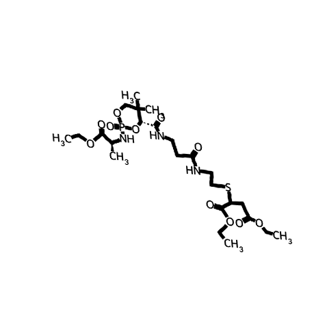 CCOC(=O)CC(SCCNC(=O)CCNC(=O)[C@@H]1OP(=O)(N[C@@H](C)C(=O)OCC)OCC1(C)C)C(=O)OCC